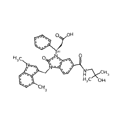 Cc1cccc2c1c(Cn1c(=O)n([C@H](CC(=O)O)c3ccccc3)c3cc(C(=O)NCC(C)(C)O)ccc31)cn2C